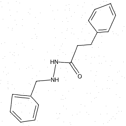 O=C(CCc1ccccc1)NNCc1ccccc1